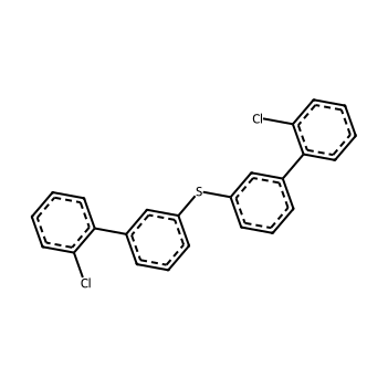 Clc1ccccc1-c1cccc(Sc2cccc(-c3ccccc3Cl)c2)c1